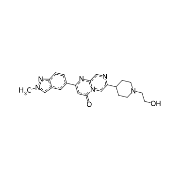 Cn1cc2cc(-c3cc(=O)n4cc(C5CCN(CCO)CC5)ncc4n3)ccc2n1